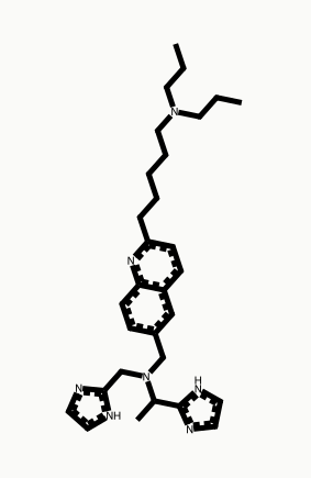 CCCN(CCC)CCCCCc1ccc2cc(CN(Cc3ncc[nH]3)C(C)c3ncc[nH]3)ccc2n1